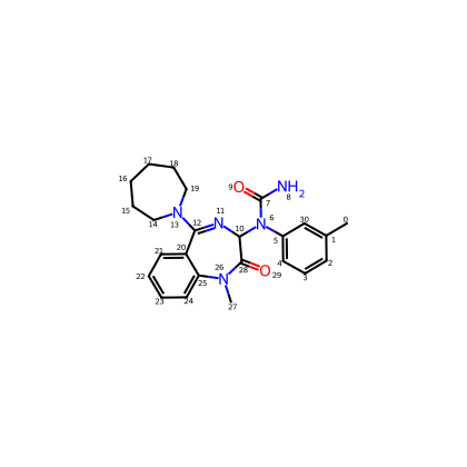 Cc1cccc(N(C(N)=O)C2N=C(N3CCCCCC3)c3ccccc3N(C)C2=O)c1